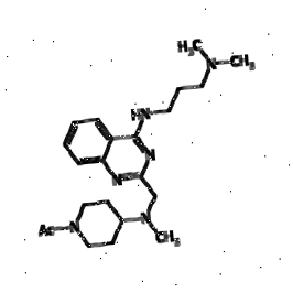 CC(=O)N1CCC(N(C)Cc2nc(NCCCN(C)C)c3ccccc3n2)CC1